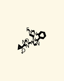 COC1(c2noc(N3C=NC4c5ccccc5N5CN(F)C=C5N43)n2)CC1